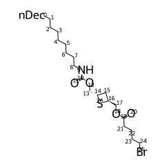 CCCCCCCCCCCCCCCCCCNC(=O)OC[C@@H]1C[C@@H](COC(=O)CCCCBr)S1